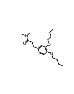 CCCCOc1ccc(CCC(=O)N(C)C)cc1OCCCC